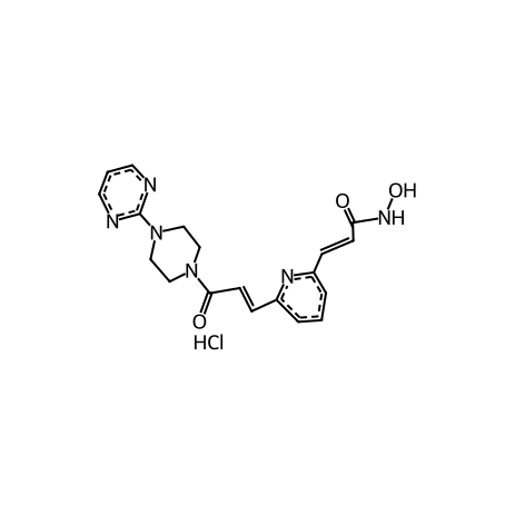 Cl.O=C(C=Cc1cccc(C=CC(=O)N2CCN(c3ncccn3)CC2)n1)NO